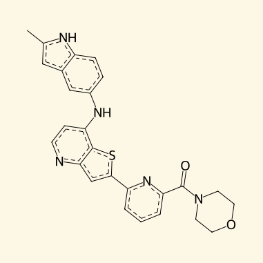 Cc1cc2cc(Nc3ccnc4cc(-c5cccc(C(=O)N6CCOCC6)n5)sc34)ccc2[nH]1